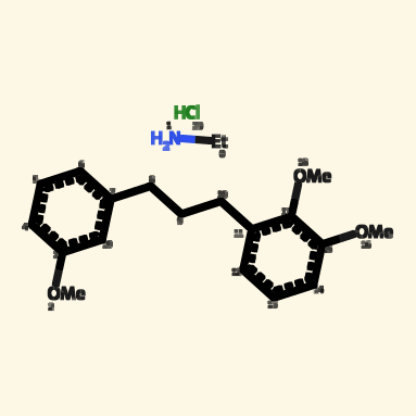 CCN.COc1cccc(CCCc2cccc(OC)c2OC)c1.Cl